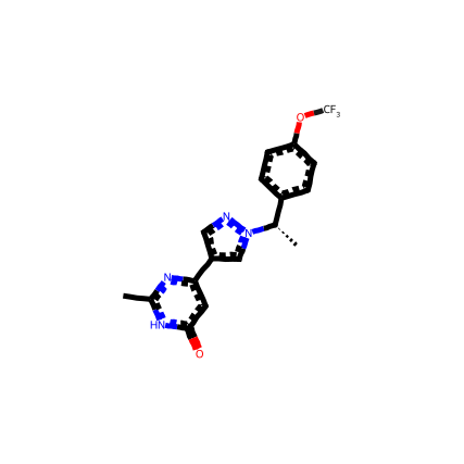 Cc1nc(-c2cnn([C@@H](C)c3ccc(OC(F)(F)F)cc3)c2)cc(=O)[nH]1